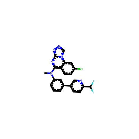 CN(c1cccc(-c2ccc(C(F)F)nc2)c1)c1nc2nncn2c2cc(Cl)ccc12